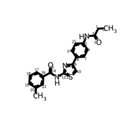 CCC(=O)Nc1ccc(-c2csc(NC(=O)c3cccc(C)c3)n2)cc1